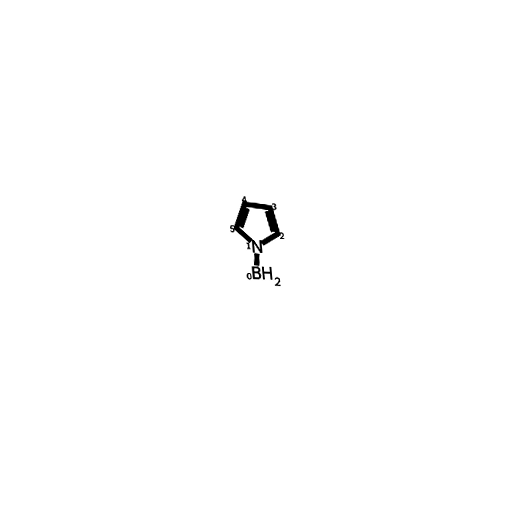 Bn1cccc1